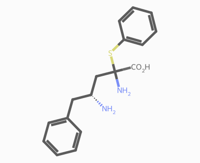 N[C@H](Cc1ccccc1)CC(N)(Sc1ccccc1)C(=O)O